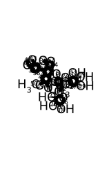 COc1cc2c(O[C@@H]3OC[C@](O)(CO[C@@H]4OC[C@@H](O)[C@H](O)[C@H]4O)[C@H]3O[C@@H]3OC[C@@H](O)[C@H](O)[C@H]3O)c3c(c(-c4ccc5c(c4)OCO5)c2cc1OC)C(=O)OC3